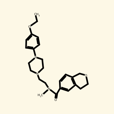 CCOc1ccc(N2CCN(CCN(C)C(=O)c3ccc4c(c3)CCOC4)CC2)cc1